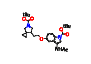 CC(=O)Nc1cn(C(=O)OC(C)(C)C)c2ccc(OCCC3CN(C(=O)OC(C)(C)C)CC34CC4)cc12